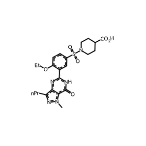 CCCc1nn(C)c2c(=O)[nH]c(-c3cc(S(=O)(=O)N4CCC(C(=O)O)CC4)ccc3OCC)nc12